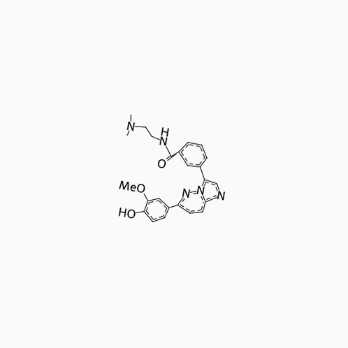 COc1cc(-c2ccc3ncc(-c4cccc(C(=O)NCCN(C)C)c4)n3n2)ccc1O